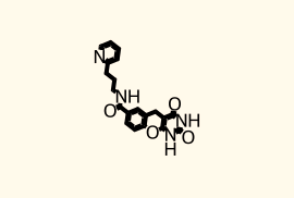 O=C(NCCCc1ccccn1)c1ccc2c(c1)Cc1c([nH]c(=O)[nH]c1=O)O2